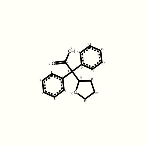 O=C(O)C(c1ccccc1)(c1ccccc1)C1CCCO1